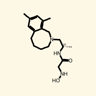 Cc1cc(C)c2c(c1)CCCCN(C[C@H](C)NC(=O)CNO)C2